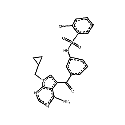 Nc1ncnc2c1c(C(=O)c1cccc(NS(=O)(=O)c3ccccc3Cl)c1)cn2CC1CC1